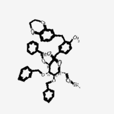 COC1(c2ccc(C)c(Cc3ccc4c(c3)OCCO4)c2)O[C@H](CO[SiH3])[C@@H](OCc2ccccc2)[C@H](OCc2ccccc2)[C@H]1OCc1ccccc1